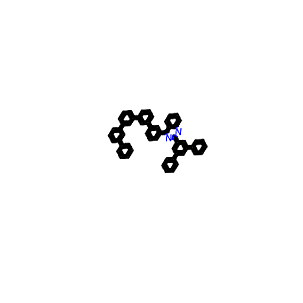 c1ccc(-c2cccc(-c3cccc(-c4cccc(-c5cccc(-c6nc(-c7cc(-c8ccccc8)cc(-c8ccccc8)c7)nc7ccccc67)c5)c4)c3)c2)cc1